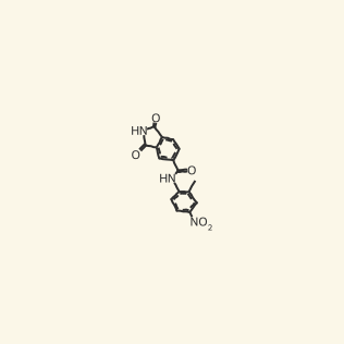 Cc1cc([N+](=O)[O-])ccc1NC(=O)c1ccc2c(c1)C(=O)NC2=O